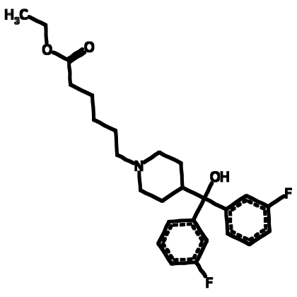 CCOC(=O)CCCCCN1CCC(C(O)(c2cccc(F)c2)c2cccc(F)c2)CC1